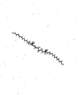 CCCCCCCCCCCCOC(=O)CCCCCCCC(=S)OCCCCCCCCCCCC